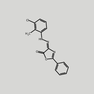 Cc1c(Cl)cccc1NN=C1N=C(c2ccccc2)OC1=O